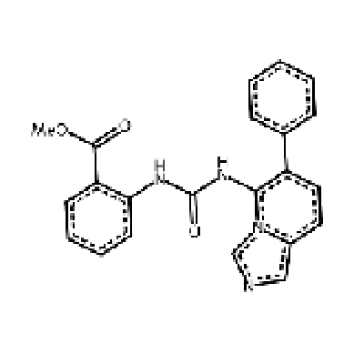 COC(=O)c1ccccc1NC(=O)Nc1c(-c2ccccc2)ccc2cncn12